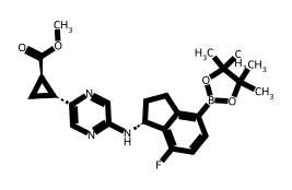 COC(=O)[C@@H]1C[C@H]1c1cnc(N[C@@H]2CCc3c(B4OC(C)(C)C(C)(C)O4)ccc(F)c32)cn1